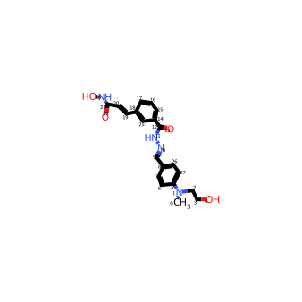 CN(CCO)c1ccc(/C=N/NC(=O)c2cccc(/C=C/C(=O)NO)c2)cc1